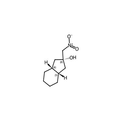 O=[N+]([O-])C[C@]1(O)C[C@H]2CCCC[C@H]2C1